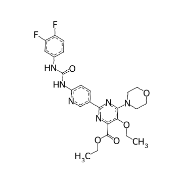 CCOC(=O)c1nc(-c2ccc(NC(=O)Nc3ccc(F)c(F)c3)nc2)nc(N2CCOCC2)c1OCC